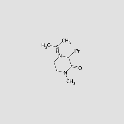 CC(C)C1C(=O)N(C)CCN1[SH](C)C